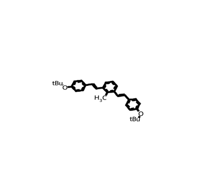 Cc1c(/C=C/c2ccc(OC(C)(C)C)cc2)cccc1/C=C/c1ccc(OC(C)(C)C)cc1